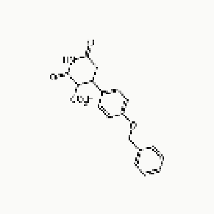 O=C1CC(c2ccc(OCc3ccccc3)cc2)C(C(=O)O)C(=O)N1